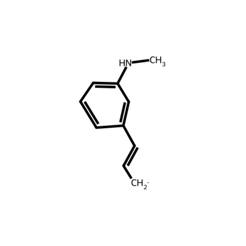 [CH2]C=Cc1cccc(NC)c1